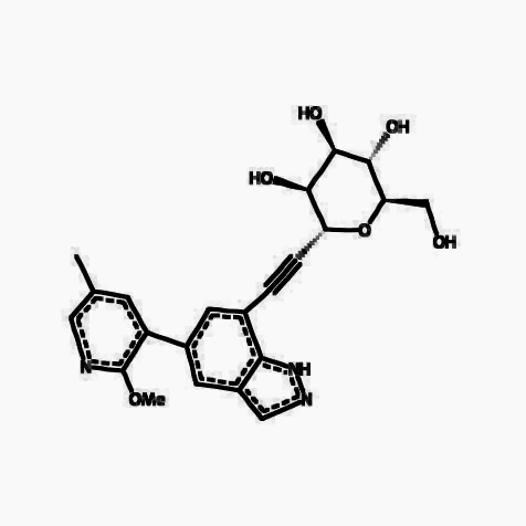 COc1ncc(C)cc1-c1cc(C#C[C@H]2O[C@H](CO)[C@@H](O)[C@H](O)[C@@H]2O)c2[nH]ncc2c1